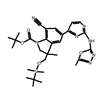 Cc1nnc(Nc2nccc(-c3cc(C#N)c4c(c3)C(C)(CO[Si](C)(C)C(C)(C)C)CN4C(=O)OC(C)(C)C)n2)o1